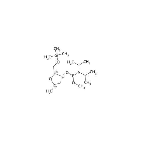 B[C@H]1C[C@@H](OP(OC)N(C(C)C)C(C)C)[C@@H](CO[Si](C)(C)C)O1